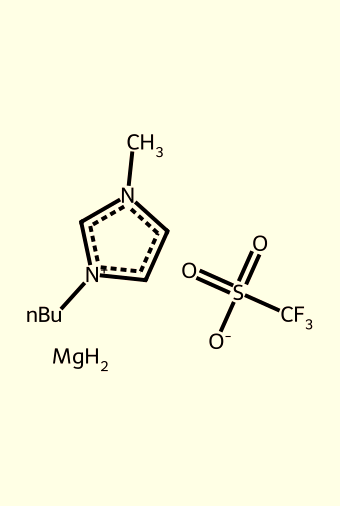 CCCC[n+]1ccn(C)c1.O=S(=O)([O-])C(F)(F)F.[MgH2]